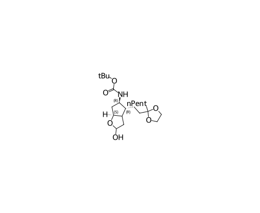 CCCCCC1(CC[C@@H]2C3CC(O)O[C@H]3C[C@H]2NC(=O)OC(C)(C)C)OCCO1